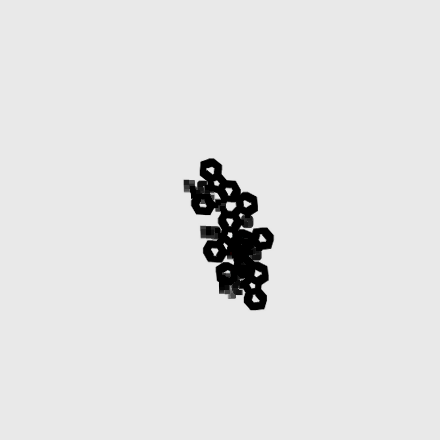 CC1(C)c2ccccc2-c2cccc(N(c3ccccc3)c3cc4c(c5c3oc3ccccc35)-c3c(cc(N(c5ccccc5)c5cccc6c5C(C)(C)c5ccccc5-6)c5c3oc3ccccc35)C4(O)c3ccccc3-n3c4ccccc4c4ccccc43)c21